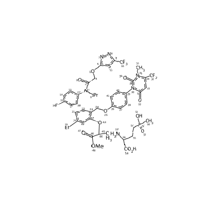 CC(C)N(C(=O)COc1nnc(C(F)(F)F)s1)c1ccc(F)cc1.CCc1ccc(COc2ccc(-n3c(=O)cc(C(F)(F)F)n(C)c3=O)cc2)c(OC(C)C(=O)OC)c1.CP(=O)(O)CCC(N)C(=O)O